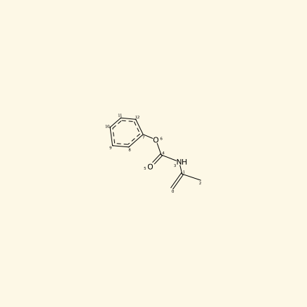 C=C(C)NC(=O)Oc1ccccc1